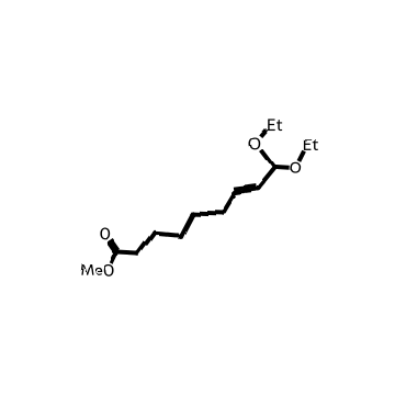 CCOC(/C=C/CCCCCC(=O)OC)OCC